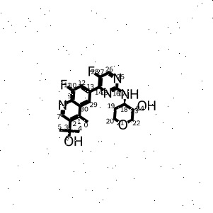 Cc1c(C(C)(C)O)cnc2c(F)cc(-c3nc(N[C@@H]4CCOC[C@H]4O)ncc3F)cc12